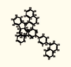 c1ccc(-c2nc(-c3ccc(-c4cccc5ccccc45)cc3)nc(-c3ccc4ccccc4c3-n3c4ccccc4c4ccccc43)n2)cc1